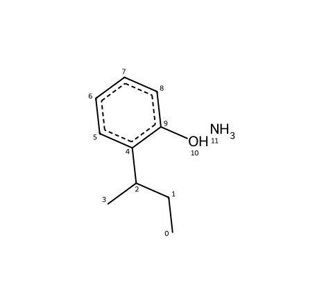 CCC(C)c1ccccc1O.N